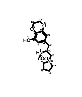 CCCCCCCCN[C@@H](Cc1cc(O)c2c(c1)OCCO2)CN1CCCC1